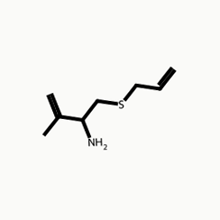 C=CCSCC(N)C(=C)C